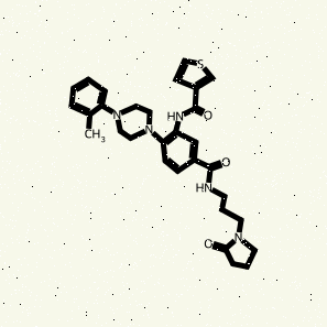 Cc1ccccc1N1CCN(c2ccc(C(=O)NCCCN3CCCC3=O)cc2NC(=O)c2ccsc2)CC1